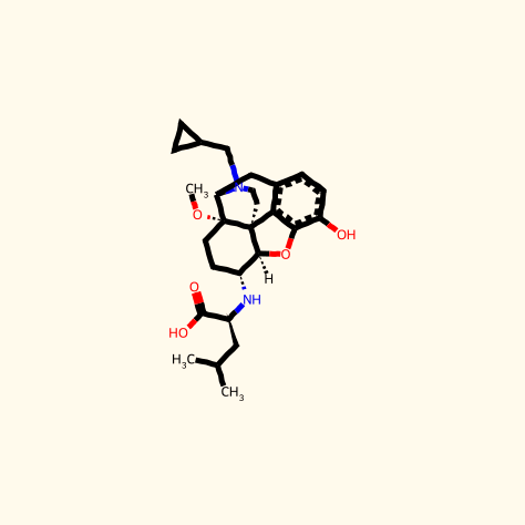 CO[C@@]12CC[C@@H](N[C@@H](CC(C)C)C(=O)O)[C@@H]3Oc4c(O)ccc5c4[C@@]31CCN(CC1CC1)C2C5